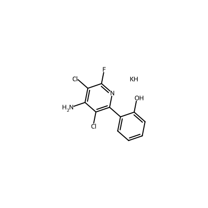 Nc1c(Cl)c(F)nc(-c2ccccc2O)c1Cl.[KH]